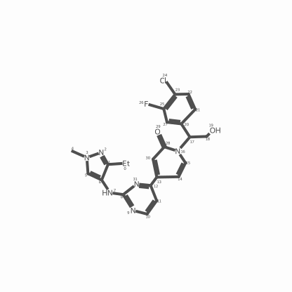 CCc1nn(C)cc1Nc1nccc(-c2ccn(C(CO)c3ccc(Cl)c(F)c3)c(=O)c2)n1